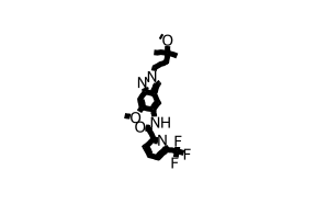 COc1cc2nn(CCC(C)(C)OC)cc2cc1NC(=O)c1cccc(C(F)(F)F)n1